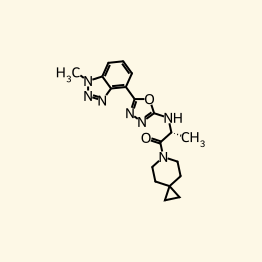 C[C@@H](Nc1nnc(-c2cccc3c2nnn3C)o1)C(=O)N1CCC2(CC1)CC2